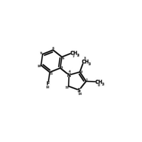 CC1=C(C)N(c2c(C)cccc2F)CS1